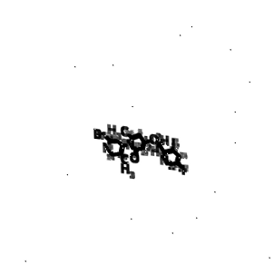 [2H]C([2H])(Oc1cc(C)n(-c2cc(Br)ncc2C)c(=O)c1)c1ncc(F)cc1F